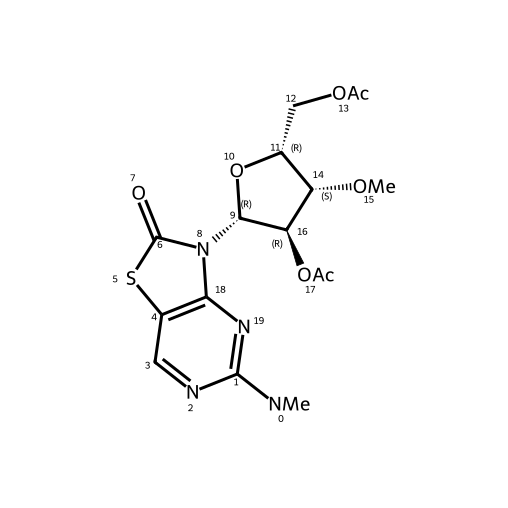 CNc1ncc2sc(=O)n([C@@H]3O[C@H](COC(C)=O)[C@H](OC)[C@H]3OC(C)=O)c2n1